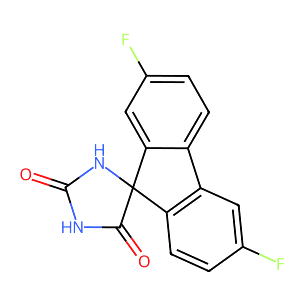 O=C1NC(=O)C2(N1)c1ccc(F)cc1-c1ccc(F)cc12